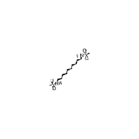 CS(=O)(=O)NCCCCCCCCCCNS(C)(=O)=O